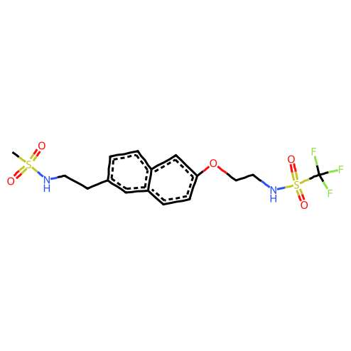 CS(=O)(=O)NCCc1ccc2cc(OCCNS(=O)(=O)C(F)(F)F)ccc2c1